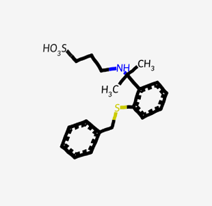 CC(C)(NCCCS(=O)(=O)O)c1ccccc1SCc1ccccc1